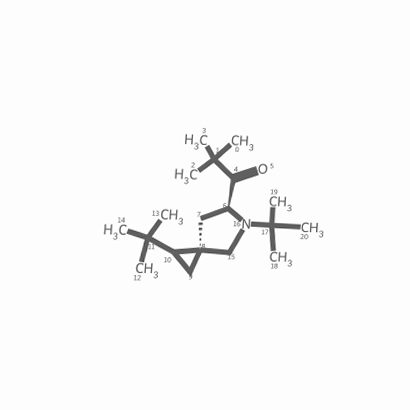 CC(C)(C)C(=O)[C@@H]1C[C@@]2(CC2C(C)(C)C)CN1C(C)(C)C